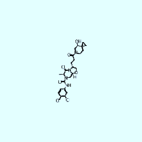 C[C@H]1C(=O)N2[C@@H](CCC(=O)N3CCC4(CC4)[C@H](O)C3)CO[C@@H]2CN1C(=O)Nc1ccc(Cl)c(Cl)c1